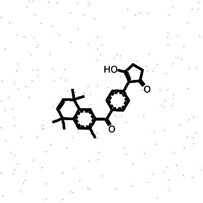 Cc1cc2c(cc1C(=O)c1ccc(C3=C(O)CCC3=O)cc1)C(C)(C)C=CC2(C)C